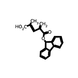 C=C(C=C(C)C(=O)O)C(=O)OC1c2ccccc2-c2ccccc21